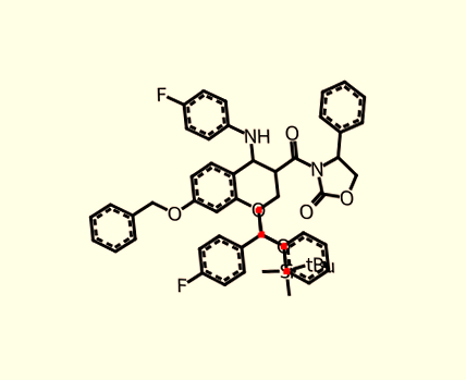 CC(C)(C)[Si](C)(C)OC(CCC(C(=O)N1C(=O)OCC1c1ccccc1)C(Nc1ccc(F)cc1)c1ccc(OCc2ccccc2)cc1OCc1ccccc1)c1ccc(F)cc1